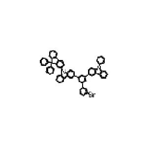 Brc1cccc(-c2cc(-c3ccc4c(c3)c3ccccc3n4-c3ccccc3)cc(-c3ccc4c(c3)c3ccccc3n4-c3ccc4c(c3)C(c3ccccc3)(c3ccccc3)c3ccccc3-4)c2)c1